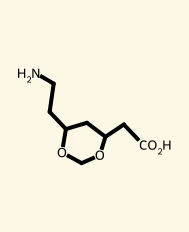 NCCC1CC(CC(=O)O)OCO1